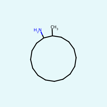 CC1CCCCCCCCCCCCCCC1N